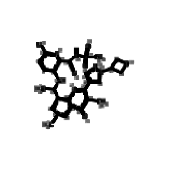 Cc1cc(C(C)Nc2ccc(Cl)nc2C(=O)NS(C)(=O)=O)c2oc(-c3cnn(C4COC4)c3)c(C)c(=O)c2c1